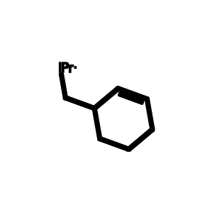 C[C](C)CC1C=CCCC1